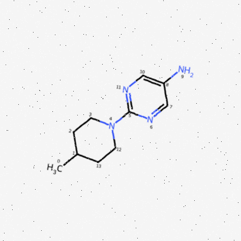 CC1CCN(c2ncc(N)cn2)CC1